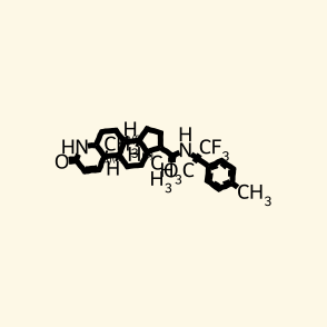 Cc1ccc(C(C)(NC(=O)C2CC[C@H]3[C@@H]4CCC5NC(=O)C=C[C@]5(C)[C@@H]4CC[C@]23C)C(F)(F)F)cc1